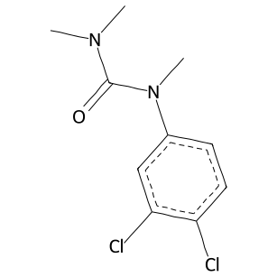 CN(C)C(=O)N(C)c1ccc(Cl)c(Cl)c1